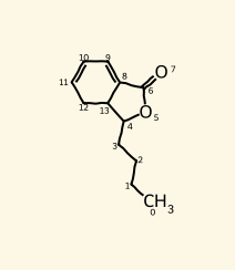 CCCCC1OC(=O)C2=CC=CCC21